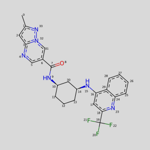 Cc1cc2ncc(C(=O)N[C@@H]3CCC[C@H](Nc4cc(C(F)(F)F)nc5ccccc45)C3)cn2n1